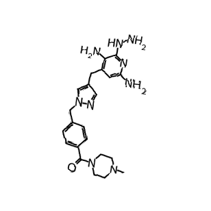 CN1CCN(C(=O)c2ccc(Cn3cc(Cc4cc(N)nc(NN)c4N)cn3)cc2)CC1